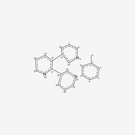 Cc1ccccc1.c1cncc(-c2cccnc2-c2cccnc2)c1